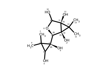 CC1(C)C(O)[C@@]1(O)[C@H]1OC(O)[C@]2(O)C(C)(C)[C@]12O